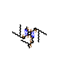 CCCCCCCCC(CCCCCC)Cc1ccc(-c2nc3c(-c4ncc(-c5ccc(-c6sc(C)cc6CCCCCC)s5)s4)c4sc(-c5ccc(CC(CCCCCC)CCCCCCCC)s5)nc4c(-c4ncc(C)s4)c3s2)s1